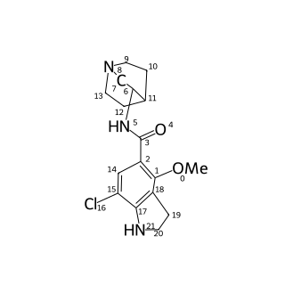 COc1c(C(=O)NC2CN3CCC2CC3)cc(Cl)c2c1CCN2